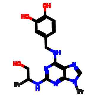 CC(C)C(CO)Nc1nc(NCc2ccc(O)c(O)c2)c2ncn(C(C)C)c2n1